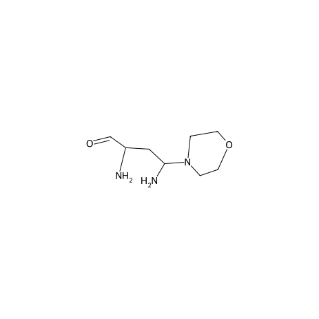 NC(C=O)CC(N)N1CCOCC1